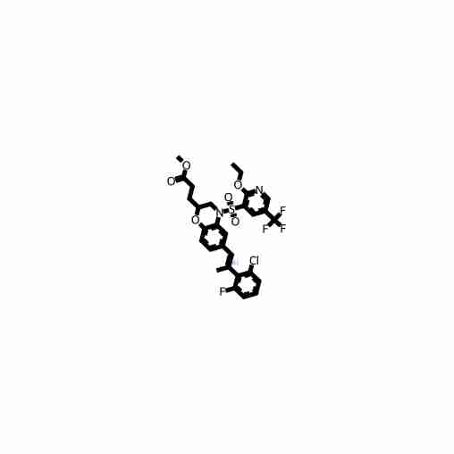 CCOc1ncc(C(F)(F)F)cc1S(=O)(=O)N1CC(CCC(=O)OC)Oc2ccc(/C=C(\C)c3c(F)cccc3Cl)cc21